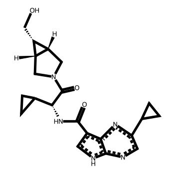 O=C(N[C@@H](C(=O)N1C[C@@H]2[C@H](CO)[C@@H]2C1)C1CC1)c1c[nH]c2ncc(C3CC3)nc12